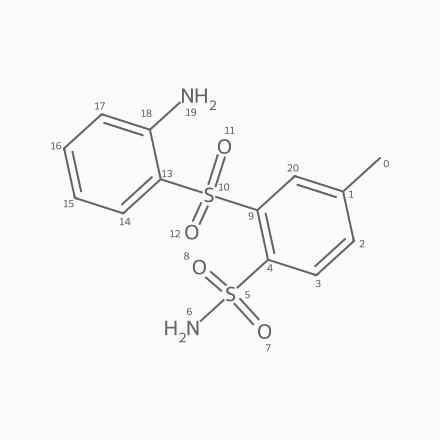 Cc1ccc(S(N)(=O)=O)c(S(=O)(=O)c2ccccc2N)c1